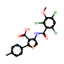 COc1c(Br)cc(Br)c(C(=O)Nc2csc(-c3ccc(C)cc3)c2C(=O)O)c1Br